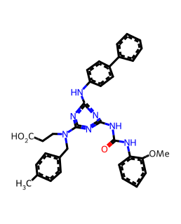 COc1ccccc1NC(=O)Nc1nc(Nc2ccc(-c3ccccc3)cc2)nc(N(CCC(=O)O)Cc2ccc(C)cc2)n1